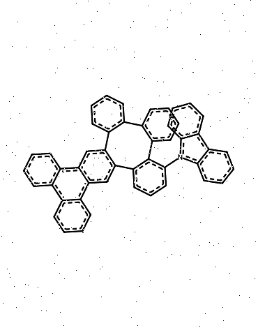 c1ccc2c(c1)-c1cc3c4ccccc4c4ccccc4c3cc1-c1cccc(-n3c4ccccc4c4ccccc43)c1-c1ccccc1-2